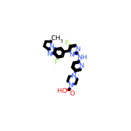 CC1CCc2nc3c(F)cc(-c4nc(Nc5ccc(N6CCN(C(=O)O)CC6)cn5)ncc4F)cc3n21